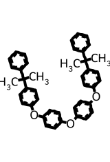 CC(C)(c1ccccc1)c1ccc(Oc2ccc(Oc3ccc(Oc4ccc(C(C)(C)c5ccccc5)cc4)cc3)cc2)cc1